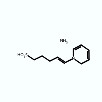 N.O=S(=O)(O)CCCC=CN1C=CC=CC1